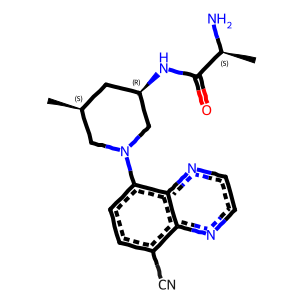 C[C@H]1C[C@@H](NC(=O)[C@H](C)N)CN(c2ccc(C#N)c3nccnc23)C1